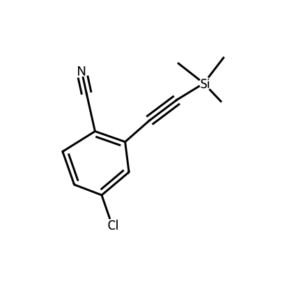 C[Si](C)(C)C#Cc1cc(Cl)ccc1C#N